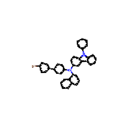 Brc1ccc(-c2ccc(N(c3ccc4c(c3)c3ccccc3n4-c3ccccc3)c3cccc4ccccc34)cc2)cc1